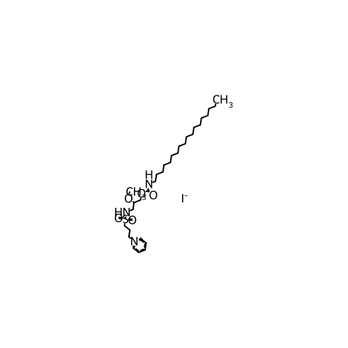 CCCCCCCCCCCCCCCCCCNC(=O)OCC(CNS(=O)(=O)CCC[n+]1ccccc1)OC.[I-]